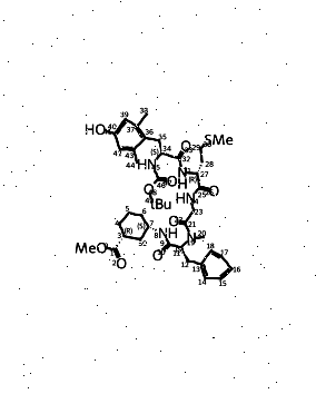 COC(=O)[C@@H]1CCC[C@H](NC(=O)[C@H](Cc2ccccc2)N(C)C(=O)CNC(=O)[C@@H](CCSC)NC(=O)[C@H](Cc2c(C)cc(O)cc2C)NC(=O)OC(C)(C)C)C1